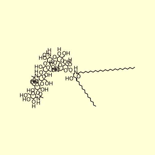 CCCCCCCCCCCCC/C=C/[C@@H](O)[C@H](CO[C@@H]1OC(CO)[C@@H](O[C@@H]2OC(CO)[C@H](O)[C@H](O[C@@H]3OC(CO)[C@@H](O[C@@H]4OC(CO)[C@H](O)[C@H](O[C@@H]5OC(CO)[C@@H](O[C@@H]6OC(CO)[C@H](O)[C@H](O[C@@H]7OC(CO)[C@@H](O)[C@H](O)C7NC(C)=O)C6O)[C@H](O)C5NC(C)=O)C4O)[C@H](O)C3NC(C)=O)C2O)[C@H](O)C1O)NC(=O)CCCCCCCCCCCCCCCCCCCCCCC